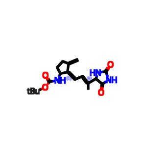 C=C1CCC(NC(=O)OC(C)(C)C)/C1=C/C=C(\C)C1NC(=O)NC1=O